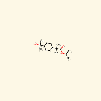 CC(OC(=O)C(C)(C)C1CCC(C(C)(C)O)CC1)C(F)(F)F